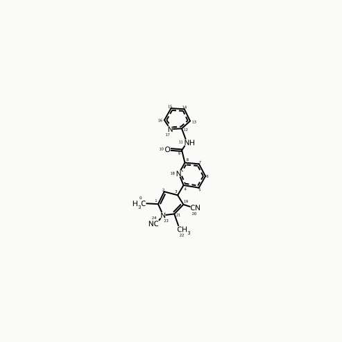 CC1=CC(c2cccc(C(=O)Nc3ccccn3)n2)C(C#N)=C(C)N1C#N